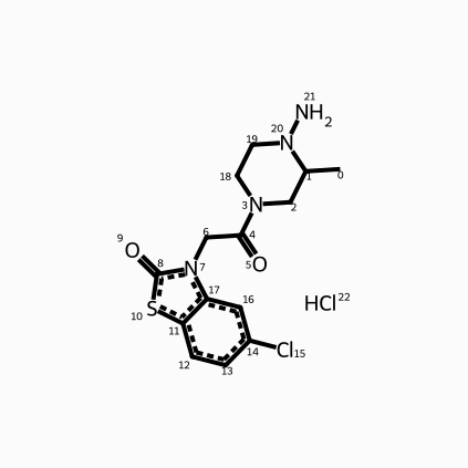 CC1CN(C(=O)Cn2c(=O)sc3ccc(Cl)cc32)CCN1N.Cl